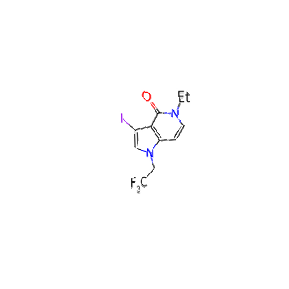 CCn1ccc2c(c(I)cn2CC(F)(F)F)c1=O